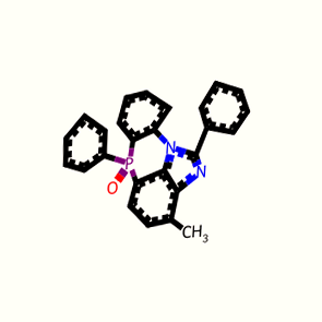 Cc1ccc2c3c1nc(-c1ccccc1)n3-c1ccccc1P2(=O)c1ccccc1